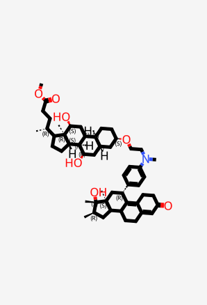 COC(=O)CC[C@@H](C)C1CC[C@H]2[C@@H]3[C@H](O)C[C@@H]4C[C@@H](OCCN(C)c5ccc([C@H]6C[C@@]7(C)C(C[C@@H](C)[C@]7(C)O)C7CCC8=CC(=O)CCC8=C76)cc5)CC[C@]4(C)[C@H]3C[C@H](O)[C@]12C